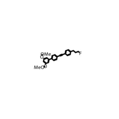 COOc1cc(OOC)cc(-c2ccc(C#Cc3ccc(CCCF)cc3)cc2)c1